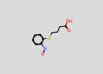 O=Nc1ccccc1SCCCC(=O)O